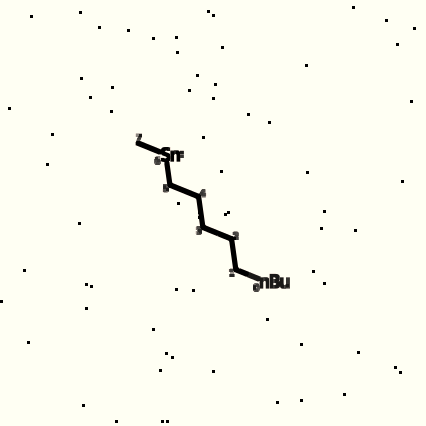 CCCCCCCC[CH2][Sn][CH3]